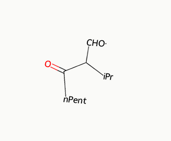 CCCCCC(=O)C([C]=O)C(C)C